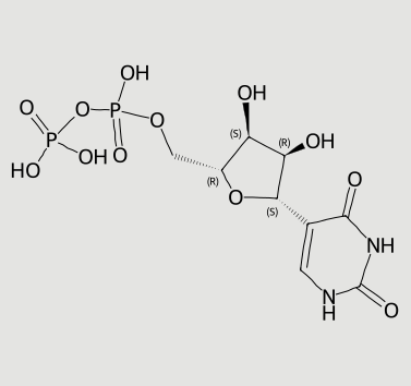 O=c1[nH]cc([C@@H]2O[C@H](COP(=O)(O)OP(=O)(O)O)[C@@H](O)[C@H]2O)c(=O)[nH]1